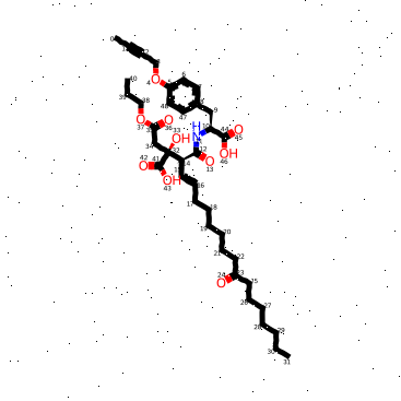 CC#CCOc1ccc(C[C@H](NC(=O)[C@@H](/C=C/CCCCCCC(=O)CCCCCCC)[C@@](O)(CC(=O)OCCC)C(=O)O)C(=O)O)cc1